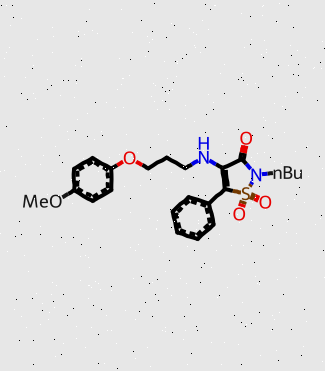 CCCCN1C(=O)C(NCCCOc2ccc(OC)cc2)=C(c2ccccc2)S1(=O)=O